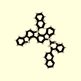 c1ccc2cc(-c3nc(-n4c5ccccc5c5c4ccc4c6c7oc8ccccc8c7ccc6n(-c6ccc7ccccc7c6)c45)nc4ccccc34)ccc2c1